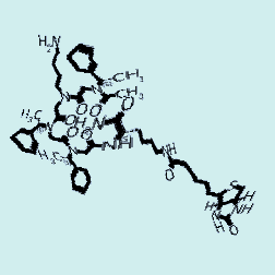 CC(=O)N(CC(=O)N(CCCCN)CC(=O)N(CC(=O)N(CC(=O)N[C@@H](CCCCNC(=O)CCCCC1SC[C@@H]2NC(=O)N[C@H]12)C(N)=O)[C@@H](C)c1ccccc1)[C@@H](C)c1ccccc1)[C@@H](C)c1ccccc1